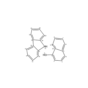 Oc1cccc2cccnc12.c1ccc2c(c1)[nH]c1ccccc12